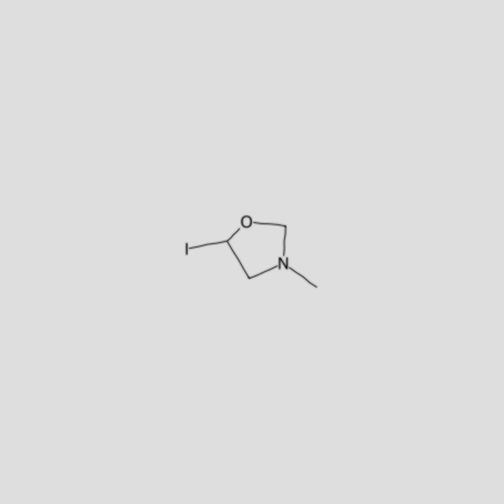 CN1COC(I)C1